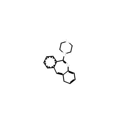 C1=CCC2=Cc3ccccc3C(N3CCNCC3)=NC2=C1